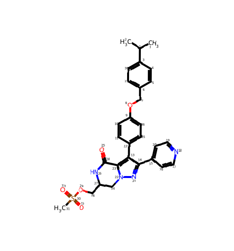 CC(C)c1ccc(COc2ccc(-c3c(-c4ccncc4)nn4c3C(=O)NC(COS(C)(=O)=O)C4)cc2)cc1